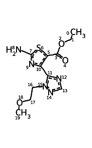 CCOC(=O)c1sc(N)nc1-c1ncnn1CCOC